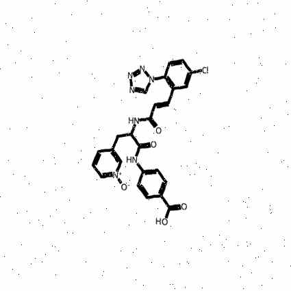 O=C(C=Cc1cc(Cl)ccc1-n1cnnn1)NC(Cc1ccc[n+]([O-])c1)C(=O)Nc1ccc(C(=O)O)cc1